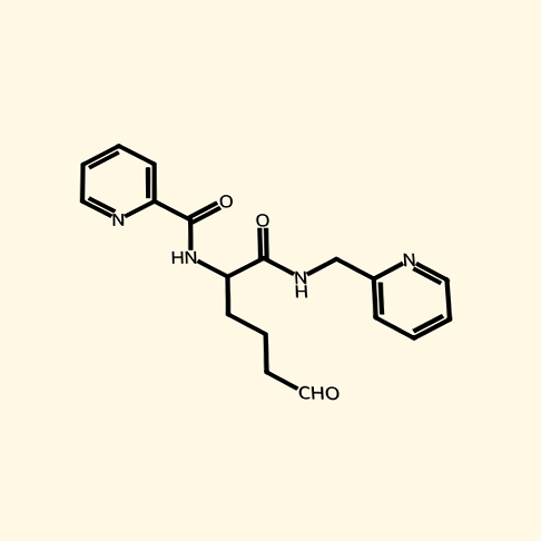 O=CCCCC(NC(=O)c1ccccn1)C(=O)NCc1ccccn1